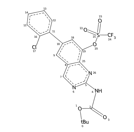 CC(C)(C)OC(=O)Nc1ncc2cc(-c3ccccc3Cl)cc(OS(=O)(=O)C(F)(F)F)c2n1